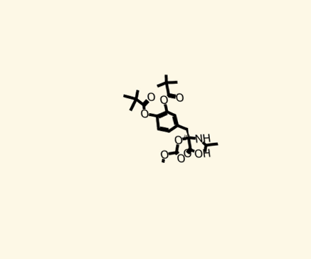 COC(=O)O[C@](Cc1ccc(OC(=O)C(C)(C)C)c(OC(=O)C(C)(C)C)c1)(NC(C)C)C(=O)O